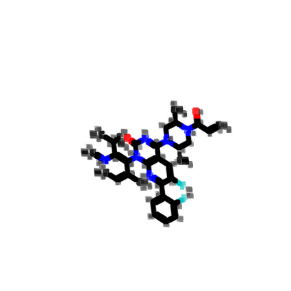 C=CC(=O)N1C[C@H](C)N(c2nc(=O)n(C(/C(C)=C\C)=C(/N=C)C(C)C)c3nc(-c4ccccc4F)c(F)cc23)C[C@H]1C